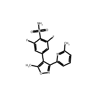 Cc1cccc(-c2noc(C)c2-c2cc(F)c(S(N)(=O)=O)c(F)c2)n1